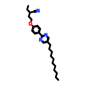 CCCCCCCCCCCc1cnc(-c2ccc(OCCC(C#N)CC)cc2)nc1